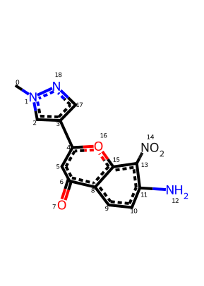 Cn1cc(-c2cc(=O)c3ccc(N)c([N+](=O)[O-])c3o2)cn1